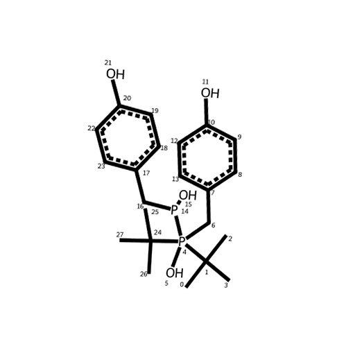 CC(C)(C)P(O)(Cc1ccc(O)cc1)(P(O)Cc1ccc(O)cc1)C(C)(C)C